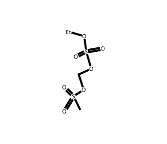 CCOS(=O)(=O)OCOS(C)(=O)=O